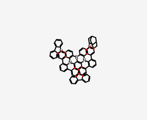 c1ccc(-c2cccc(-c3ccccc3)c2N2c3cc(N4C5CC6CC(C5)CC4C6)ccc3B3c4ccc(-n5c6ccccc6c6ccccc65)cc4N(c4c(-c5ccccc5)cccc4-c4ccccc4)c4cc(-n5c6ccccc6c6ccccc65)cc2c43)cc1